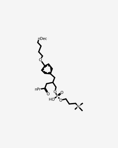 CCCCCCCCCCCCCCOc1ccc(CC(COP(=O)(O)OCCC[N+](C)(C)C)CC(=O)CCC)cc1